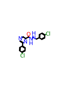 O=C(NNCc1ccc(Cl)cc1)c1cncc(-c2ccc(Cl)cc2)n1